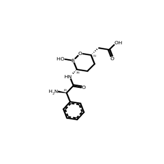 N[C@@H](C(=O)N[C@H]1CC[C@@H](CC(=O)O)OB1O)c1ccccc1